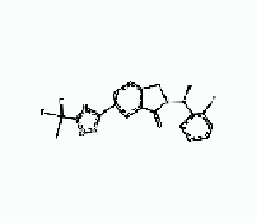 C[C@@H](c1ccccc1F)N1Cc2ccc(-c3noc(C(F)(F)F)n3)cc2C1=O